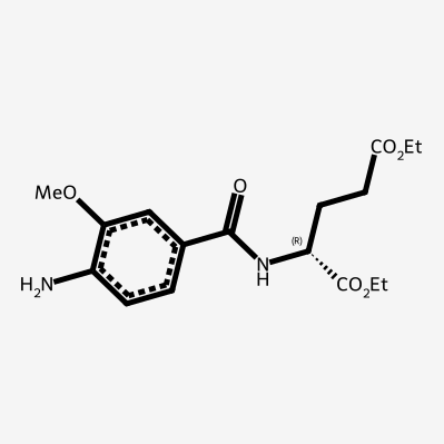 CCOC(=O)CC[C@@H](NC(=O)c1ccc(N)c(OC)c1)C(=O)OCC